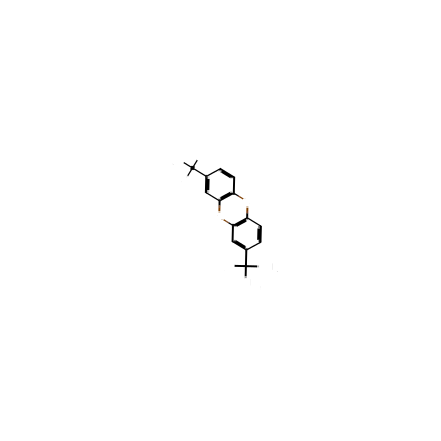 CC(C)(C)c1ccc2c(c1)Sc1cc(C(C)(C)C)ccc1S2